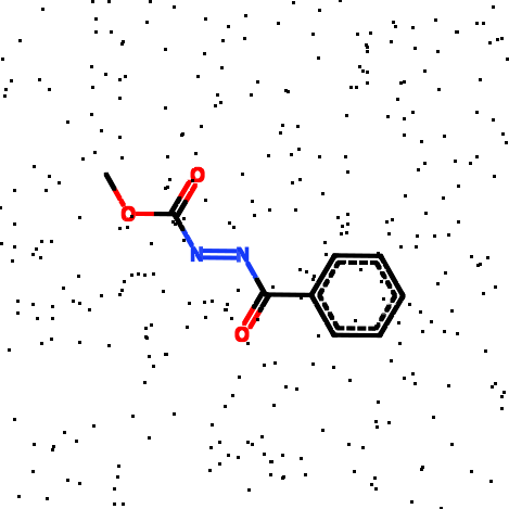 COC(=O)/N=N/C(=O)c1ccccc1